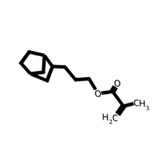 C=C(C)C(=O)OCCCC1CC2CCC1C2